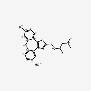 CC(CN(C)C)OCc1cc2c(s1)-c1ccc(Br)cc1Sc1ccccc1-2.Cl